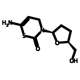 NC1=CCN([C@H]2CC[C@@H](CO)O2)C(=O)S1